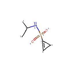 CC(C)NS(=O)(=O)C1=CC1